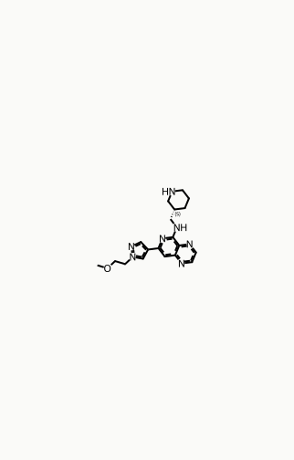 COCCn1cc(-c2cc3nccnc3c(NC[C@H]3CCCNC3)n2)cn1